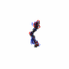 Nc1ncnc2c1c(-c1ccc(Oc3ccccc3)cc1)nn2C1CCCN(CC2CCN(C(=O)N3CCC(C4CCN(c5ccc6c(c5)C(=O)N(C5CCC(=O)NC5=O)C6=O)CC4)CC3)CC2)C1